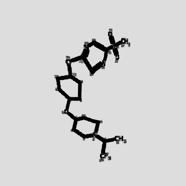 CC(N1CCC(OC2CCC(Oc3cnc(S(C)(=O)=O)cn3)CC2)CC1)C(F)(F)F